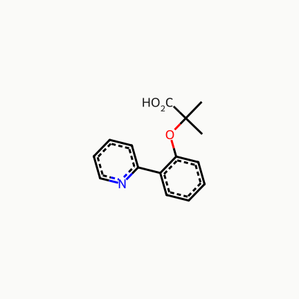 CC(C)(Oc1ccccc1-c1ccccn1)C(=O)O